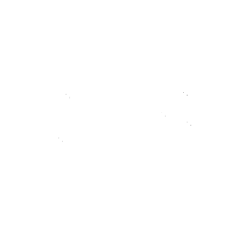 CC(CN(C)C)Nc1ccc(S(=O)(=O)Oc2ccc3[nH]c(N(C=O)C4CC4)nc3c2)cc1